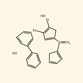 Cl.Cl.[CH2]=[Zr]([C]1=CC=CC1)[C]1=CC(CC)=C(CC)C1.c1ccc(-c2ccccc2)cc1